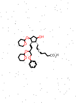 O=C(O)CCC=C=CC[C@H]1C(O)CC(OC2CCCCO2)[C@@H]1/C=C/C(COc1ccccc1)OC1CCCCO1